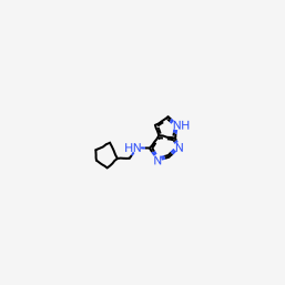 c1nc(NCC2CCCC2)c2cc[nH]c2n1